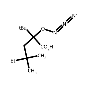 CCC(C)(C)CC(ON=[N+]=[N-])(C(=O)O)C(C)(C)C